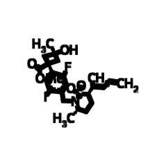 C=C/C=C(\C)[C@H]1CC[C@H](C)N(Cc2cc(F)c([C@]3(C(=O)OC)C[C@@](C)(O)C3)cc2I)S1(=O)=O